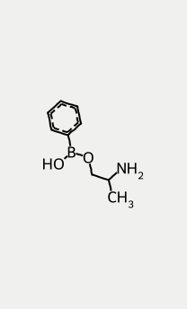 CC(N)COB(O)c1ccccc1